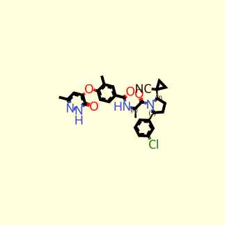 Cc1cc(Oc2ccc(C(=O)N[C@H](C)C(=O)N3[C@H](c4cccc(Cl)c4)CC[C@@H]3C3(C#N)CC3)cc2C)c(=O)[nH]n1